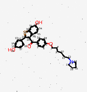 O=C(c1ccc(OCCCCCCN2CCCC2)cc1)c1c(-c2ccc(O)cc2)sc2cc(O)ccc12